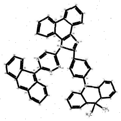 CC1(C)C2C=CC=CC2N(c2ccc(-c3nc4c5ccccc5c5ccccc5c4n3-c3cnc(-c4c5ccccc5cc5ccccc45)nn3)cc2)C2C=CC=CC21